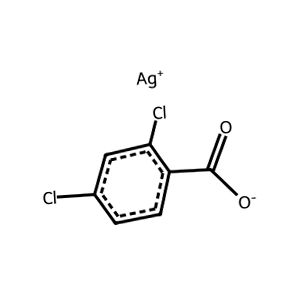 O=C([O-])c1ccc(Cl)cc1Cl.[Ag+]